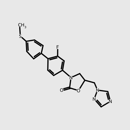 CSc1ccc(-c2ccc(N3CC(Cn4cncn4)OC3=O)cc2F)cc1